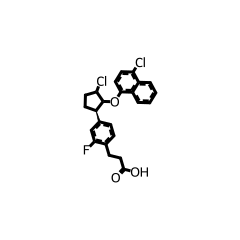 O=C(O)CCc1ccc([C@H]2CCC(Cl)C2Oc2ccc(Cl)c3ccccc23)cc1F